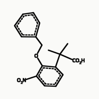 CC(C)(C(=O)O)c1cccc([N+](=O)[O-])c1OCc1ccccc1